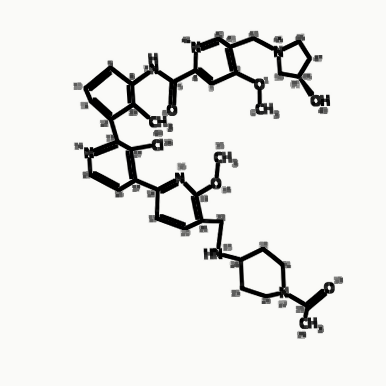 COc1cc(C(=O)Nc2cccc(-c3nccc(-c4ccc(CNC5CCN(C(C)=O)CC5)c(OC)n4)c3Cl)c2C)ncc1CN1CC[C@@H](O)C1